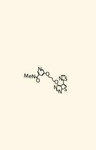 CNC(=O)c1cncc(OCCCOc2ncnc3scc(-c4nccs4)c23)c1